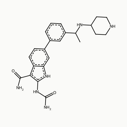 CC(NC1CCNCC1)c1cccc(-c2ccc3c(C(N)=O)c(NC(N)=O)[nH]c3c2)c1